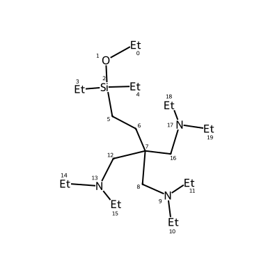 CCO[Si](CC)(CC)CCC(CN(CC)CC)(CN(CC)CC)CN(CC)CC